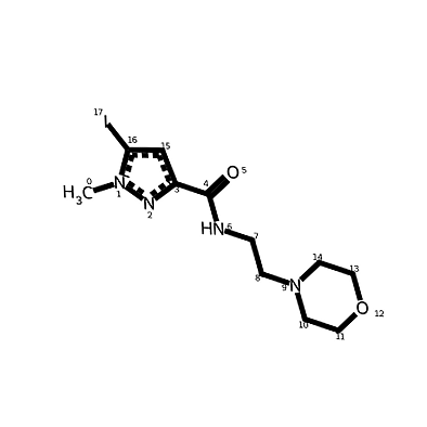 Cn1nc(C(=O)NCCN2CCOCC2)cc1I